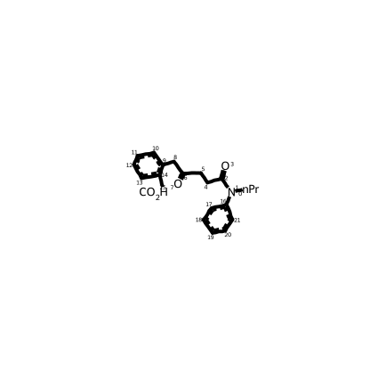 CCCN(C(=O)CCC(=O)Cc1ccccc1C(=O)O)c1ccccc1